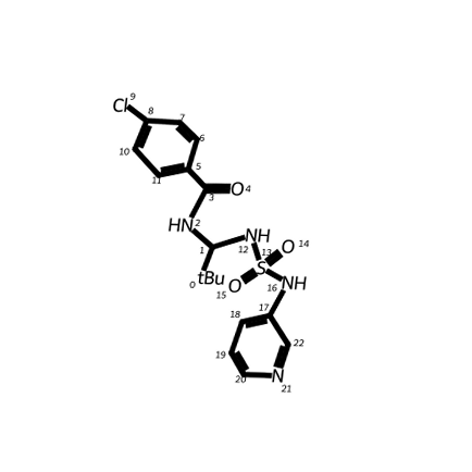 CC(C)(C)C(NC(=O)c1ccc(Cl)cc1)NS(=O)(=O)Nc1cccnc1